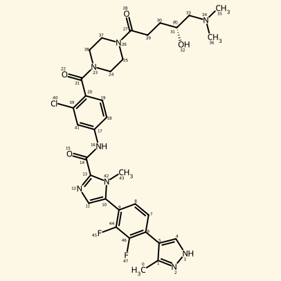 Cc1n[nH]cc1-c1ccc(-c2cnc(C(=O)Nc3ccc(C(=O)N4CCN(C(=O)CC[C@@H](O)CN(C)C)CC4)c(Cl)c3)n2C)c(F)c1F